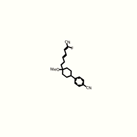 COC1(CCC=CC=C(F)C#N)CCC(c2ccc(C#N)cc2)CC1